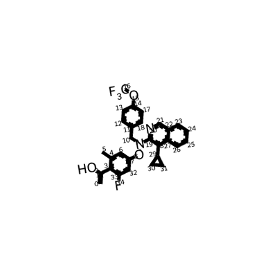 C=C(O)c1c(C)cc(ON(Cc2ccc(OC(F)(F)F)cc2)c2ncc3ccccc3c2C2CC2)cc1F